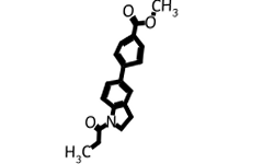 CCC(=O)N1CCc2cc(-c3ccc(C(=O)OC)cc3)ccc21